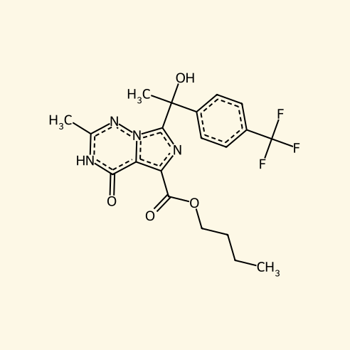 CCCCOC(=O)c1nc(C(C)(O)c2ccc(C(F)(F)F)cc2)n2nc(C)[nH]c(=O)c12